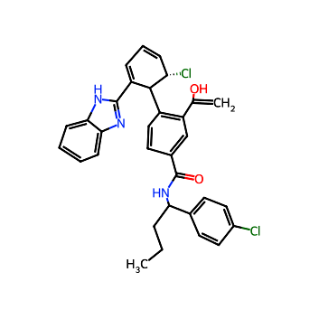 C=C(O)c1cc(C(=O)NC(CCC)c2ccc(Cl)cc2)ccc1C1C(c2nc3ccccc3[nH]2)=CC=C[C@@H]1Cl